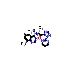 C[C@@H](C(=O)c1ncnn1-c1ncccn1)N(C)c1ncnc2c(C(F)(F)F)cc(I)cc12